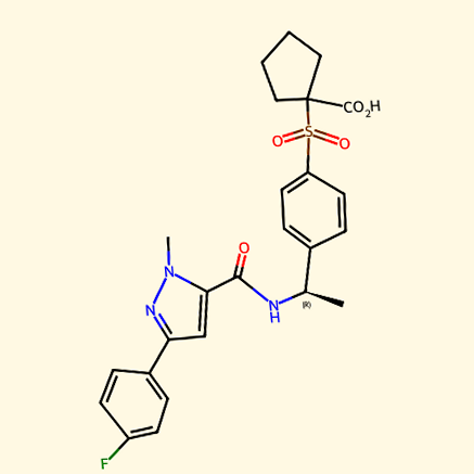 C[C@@H](NC(=O)c1cc(-c2ccc(F)cc2)nn1C)c1ccc(S(=O)(=O)C2(C(=O)O)CCCC2)cc1